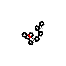 c1ccc(N(c2cccc(-c3cccc(-c4cccc5c4sc4ccccc45)c3)c2)c2ccccc2-c2ccc3ccccc3c2)cc1